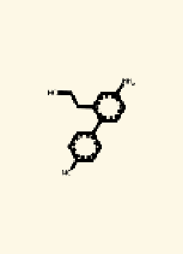 N#Cc1ccc(-c2ccc(N)cc2CCO)cc1